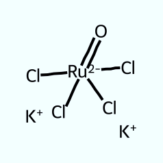 [K+].[K+].[O]=[Ru-2]([Cl])([Cl])([Cl])[Cl]